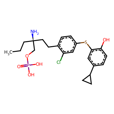 CCC[C@](N)(CCc1ccc(Sc2cc(C3CC3)ccc2O)cc1Cl)COP(=O)(O)O